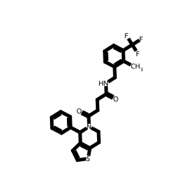 Cc1c(CNC(=O)CCC(=O)N2CCc3sccc3C2c2ccccc2)cccc1C(F)(F)F